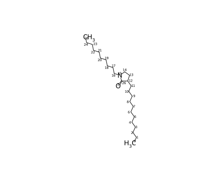 CCCCCCCCCCCCC1CCN(CCCCCCCCCC)C1=O